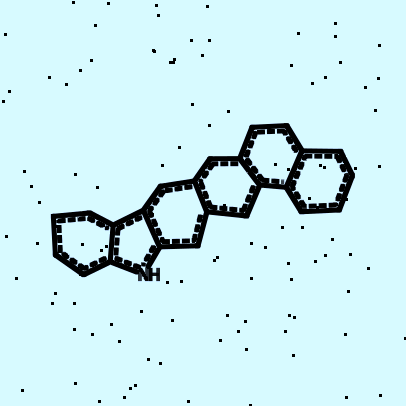 c1ccc2c(c1)ccc1cc3cc4c(cc3cc12)[nH]c1ccccc14